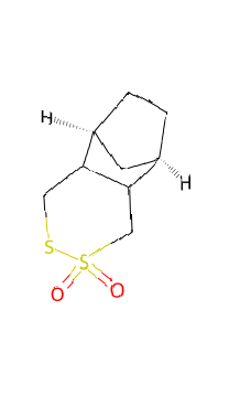 O=S1(=O)CC2C(CS1)[C@H]1CC[C@@H]2C1